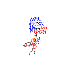 CCC(CC)COC(O)[C@H](C)NP(=O)(OCC1O[C@@](C#N)(C2(C)CC=C3C(N)=NC=NN32)[C@H](O)[C@@H]1O)Oc1ccccc1